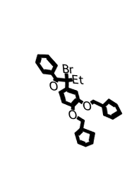 CCC(Br)(C(=O)c1ccccc1)c1ccc(OCc2ccccc2)c(OCc2ccccc2)c1